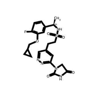 C[C@@H](NS(=O)(=O)CCc1cnnc(N2CC(=O)NC2=O)c1)c1ccc(F)c(OCC2CC2)c1